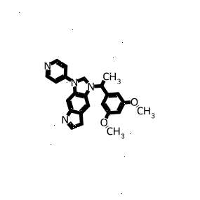 COc1cc(OC)cc(C(C)N2CN(c3ccncc3)c3cc4c(cc32)CC=N4)c1